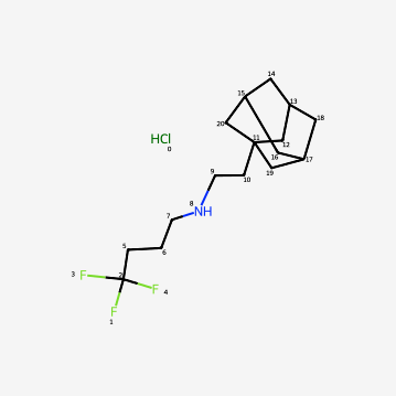 Cl.FC(F)(F)CCCNCCC12CC3CC(CC(C3)C1)C2